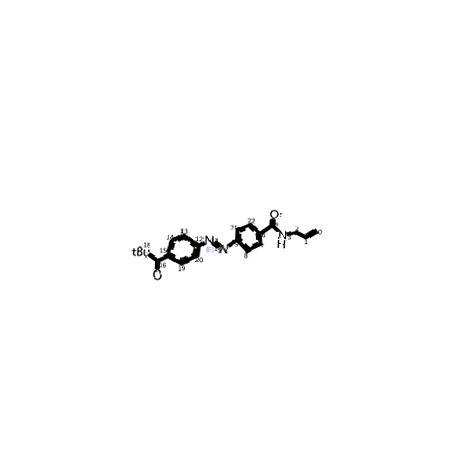 C=CCNC(=O)c1ccc(/N=N/c2ccc(C(=O)C(C)(C)C)cc2)cc1